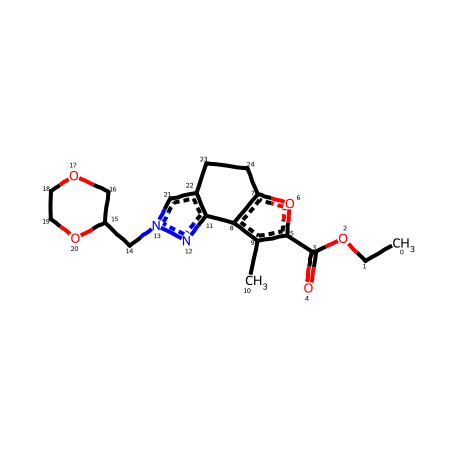 CCOC(=O)c1oc2c(c1C)-c1nn(CC3COCCO3)cc1CC2